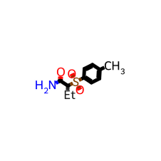 CCC(C(N)=O)S(=O)(=O)c1ccc(C)cc1